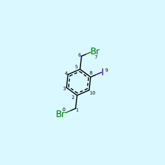 BrCc1ccc(CBr)c(I)c1